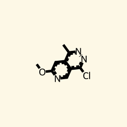 COc1cc2c(C)nnc(Cl)c2cn1